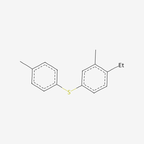 CCc1ccc(Sc2ccc(C)cc2)cc1C